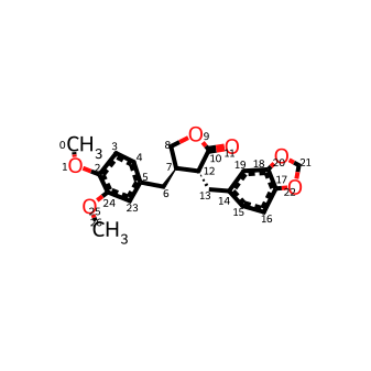 COc1ccc(C[C@H]2COC(=O)[C@@H]2Cc2ccc3c(c2)OCO3)cc1OC